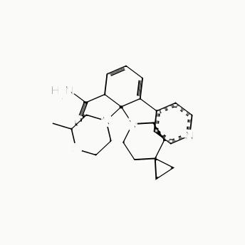 CC1CN(C2(N3CCC4(CC3)CC4)C(c3ccncc3)=CC=CC2C(N)=O)CCO1